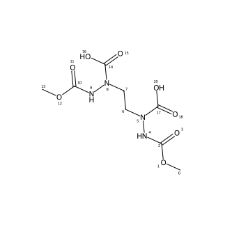 COC(=O)NN(CCN(NC(=O)OC)C(=O)O)C(=O)O